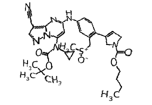 CCCCOC(=O)N1CC=C(c2ccc(Nc3cc(N(C(=O)OC(C)(C)C)C4CC4)n4ncc(C#N)c4n3)cc2C[S+](C)[O-])C1